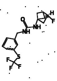 O=C(NCc1cccc(SC(F)(F)F)c1)NC12CC(C1)[C@@H](F)C2